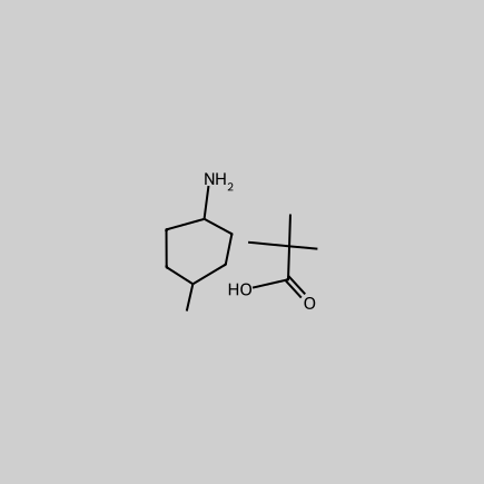 CC(C)(C)C(=O)O.CC1CCC(N)CC1